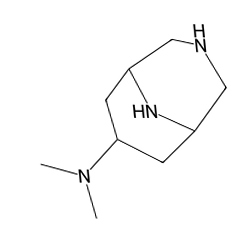 CN(C)C1CC2CNCC(C1)N2